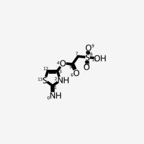 N=c1[nH]c(OC(=O)CS(=O)(=O)O)cs1